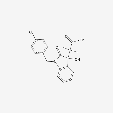 CC(C)C(=O)C(C)(C)C1(O)C(=O)N(Cc2ccc(Cl)cc2)c2ccccc21